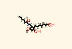 CCCCCC(/C=C/C1C(OC)CC(O)C1CCCCCC=CO)OC